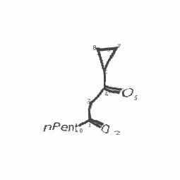 CCCCCC(=O)CC(=O)C1CC1